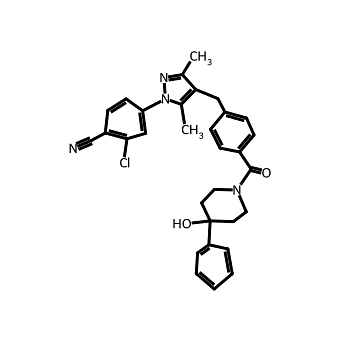 Cc1nn(-c2ccc(C#N)c(Cl)c2)c(C)c1Cc1ccc(C(=O)N2CCC(O)(c3ccccc3)CC2)cc1